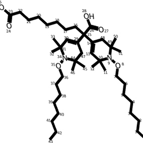 CCCCCCCCON1C(C)(C)C=C(C(CCCCCCCC(=O)O)(C(=O)O)C2=CC(C)(C)N(OCCCCCCCC)C(C)(C)C2)CC1(C)C